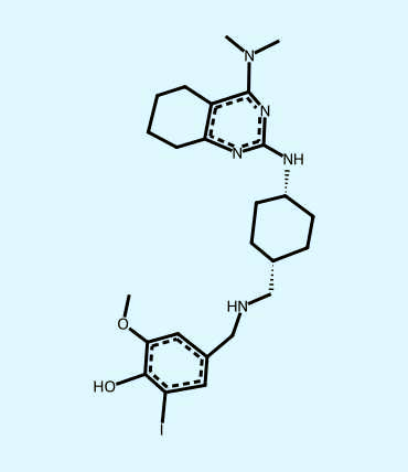 COc1cc(CNC[C@H]2CC[C@@H](Nc3nc4c(c(N(C)C)n3)CCCC4)CC2)cc(I)c1O